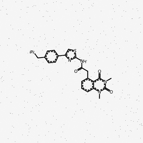 CC(C)Cc1ccc(-c2csc(NC(=O)Cc3cccc4c3c(=O)n(C)c(=O)n4C)n2)cc1